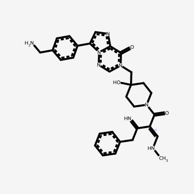 CN/C=C(\C(=N)Cc1ccccc1)C(=O)N1CCC(O)(Cn2cnn3c(-c4ccc(CN)cc4)cnc3c2=O)CC1